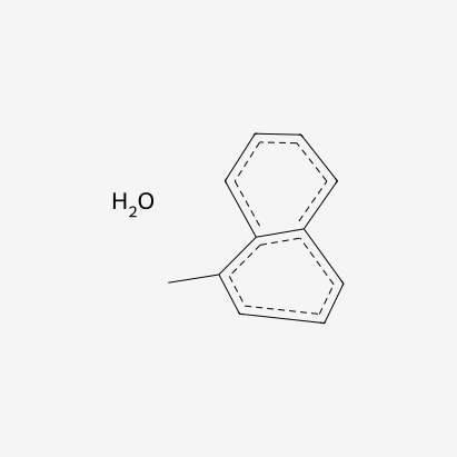 Cc1cccc2ccccc12.O